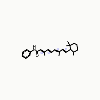 CC(/C=C/C1C(C)CCCC1(C)C)=C\C=C\C(C)=C\C(=O)Nc1ccccc1